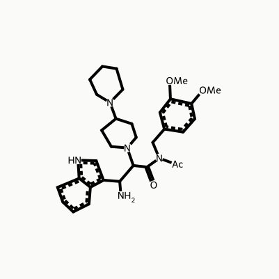 COc1ccc(CN(C(C)=O)C(=O)C(C(N)c2c[nH]c3ccccc23)N2CCC(N3CCCCC3)CC2)cc1OC